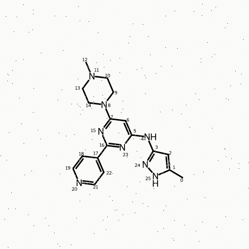 Cc1cc(Nc2cc(N3CCN(C)CC3)nc(-c3ccncc3)n2)n[nH]1